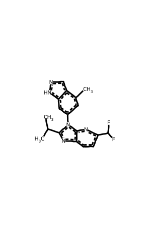 Cc1cc(-n2c(C(C)C)nc3ccc(C(F)F)nc32)cc2[nH]ncc12